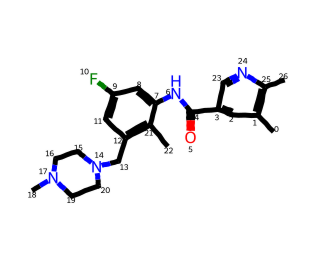 Cc1cc(C(=O)Nc2cc(F)cc(CN3CCN(C)CC3)c2C)cnc1C